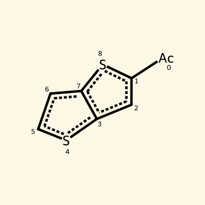 CC(=O)c1cc2sccc2s1